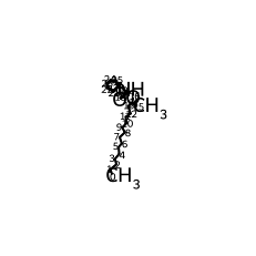 CCCCCCCCCCCCCCC(C)OC(=O)Nc1ccccc1